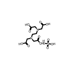 O=C(O)CN(CCN(CC(=O)O)CC(=O)O)CC(=O)O.O=S(=O)(O)O